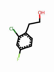 OCCc1ccc(F)cc1Cl